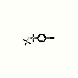 C#Cc1ccc([Si](C)(C)O[Si](C)(C)C)cc1